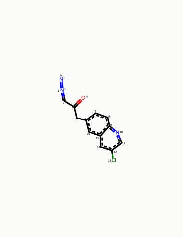 [N-]=[N+]=CC(=O)Cc1ccc2ncc(Cl)cc2c1